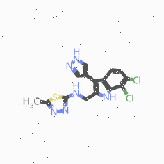 Cc1nnc(NCc2[nH]c3c(Cl)c(Cl)ccc3c2-c2cn[nH]c2)s1